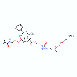 C=C(C)C(=O)NCCOC(=O)C(C)(C)CC(C)(CC(C#N)CC(C)c1ccccc1)C(=O)OCCNC(=O)NCCC(C)OCCOCCOC